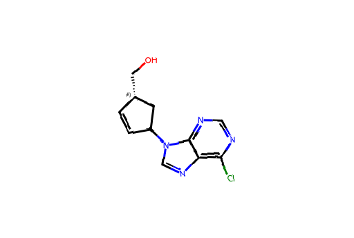 OC[C@H]1C=CC(n2cnc3c(Cl)ncnc32)C1